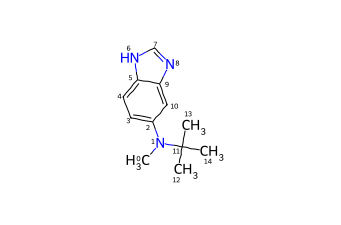 CN(c1ccc2[nH]cnc2c1)C(C)(C)C